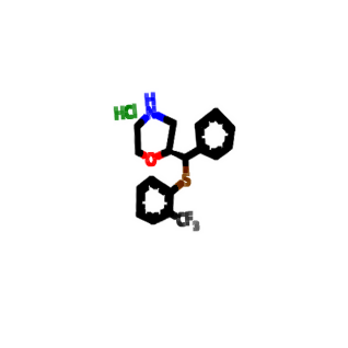 Cl.FC(F)(F)c1ccccc1SC(c1ccccc1)[C@@H]1CNCCO1